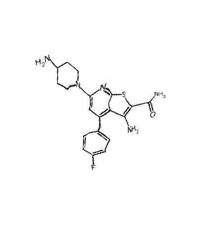 NC(=O)c1sc2nc(N3CCC(N)CC3)cc(-c3ccc(F)cc3)c2c1N